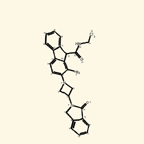 CCCCc1c(N2CC(N3Cc4ccccc4C3=O)C2)ccc2c1C(C(=O)NCC(F)(F)F)c1ccccc1-2